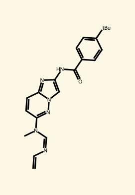 C=C/N=C\N(C)c1ccc2nc(NC(=O)c3ccc(C(C)(C)C)cc3)cn2n1